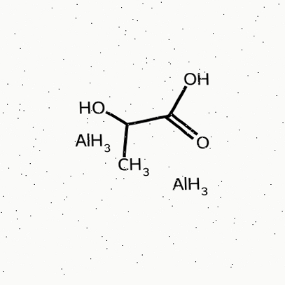 CC(O)C(=O)O.[AlH3].[AlH3]